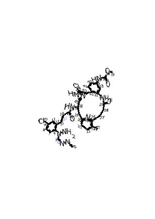 C=N/N=C\N(N)c1ccc(Cl)cc1/C=C/C(=O)N[C@@H]1Cc2ccc(F)c(n2)CCC(=O)Nc2cc(NC(=O)OC)ccc2-c2nc1[nH]c2Cl